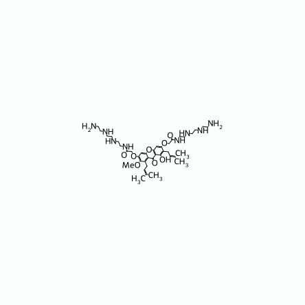 COc1c(OCC(=O)NCCNCCNCCN)cc2oc3cc(OCC(=O)NCCNCCNCCN)c(CC=C(C)C)c(O)c3c(=O)c2c1CC=C(C)C